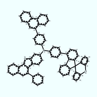 c1ccc(-c2cc3ccccc3c3oc4cc(N(c5ccc(-c6cccc7c6-c6ccccc6C76c7ccccc7Oc7ccccc76)cc5)c5ccc(-c6cc7ccccc7c7ccccc67)cc5)ccc4c23)cc1